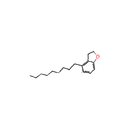 CCCCCCCCCc1[c]ccc2c1CCO2